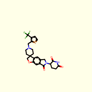 O=C1CCC(N2Cc3cc4c(cc3C2=O)OCC42CCN(Cc3sccc3C(F)(F)F)CC2)C(=O)N1